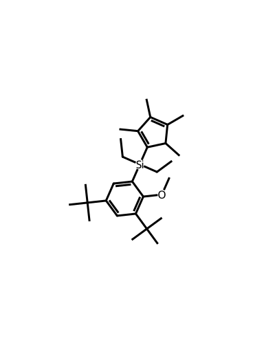 CC[Si](CC)(C1=C(C)C(C)=C(C)C1C)c1cc(C(C)(C)C)cc(C(C)(C)C)c1OC